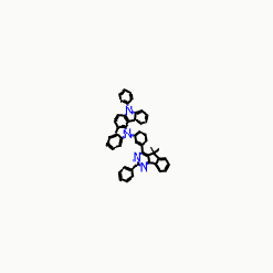 CC1(C)c2ccccc2-c2nc(-c3ccccc3)nc(-c3cccc(-n4c5ccccc5c5ccc6c(c7ccccc7n6-c6ccccc6)c54)c3)c21